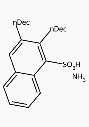 CCCCCCCCCCc1cc2ccccc2c(S(=O)(=O)O)c1CCCCCCCCCC.N